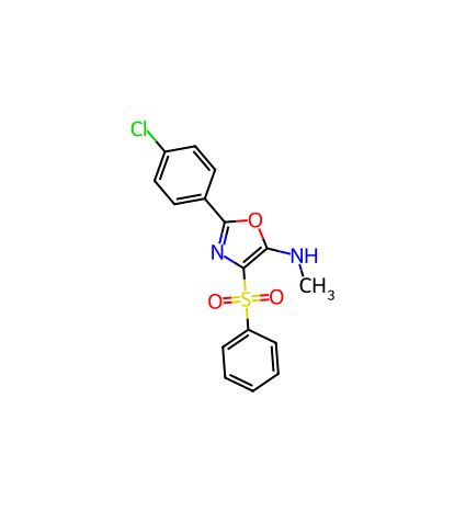 CNc1oc(-c2ccc(Cl)cc2)nc1S(=O)(=O)c1ccccc1